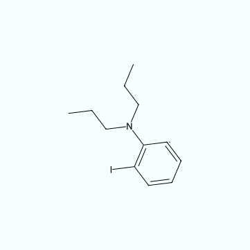 CCCN(CCC)c1[c]cccc1I